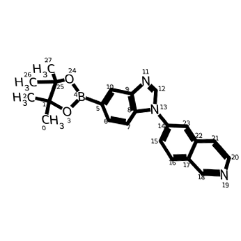 CC1(C)OB(c2ccc3c(c2)ncn3-c2ccc3cnccc3c2)OC1(C)C